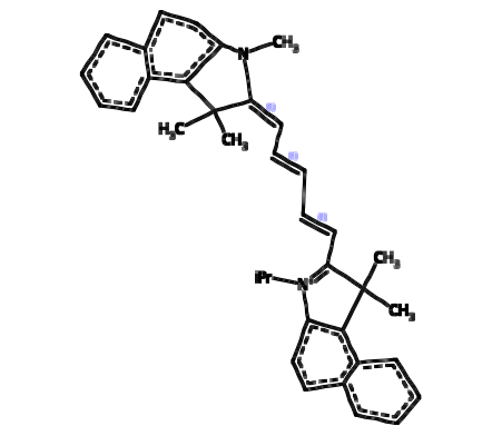 CC(C)[N+]1=C(/C=C/C=C/C=C2/N(C)c3ccc4ccccc4c3C2(C)C)C(C)(C)c2c1ccc1ccccc21